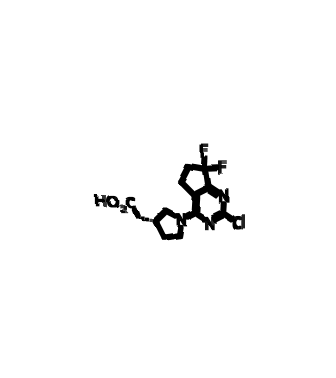 O=C(O)C[C@H]1CCN(c2nc(Cl)nc3c2CCC3(F)F)C1